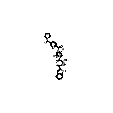 CC(C)(C)[C@H](NC(=O)c1cc2ccccc2[nH]1)C(=O)N1C[C@@H]2C[C@H]1CN2C(=O)c1ccc(C(=O)N2CCCC2)cn1